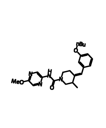 CCCCOc1cccc(C=C2CCN(C(=O)Nc3cnc(OC)cn3)CC2C)c1